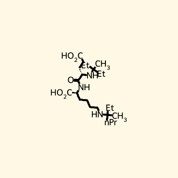 CCCC(C)(CC)NCCCC[C@H](NC(=O)[C@H](CCC(=O)O)NC(C)(CC)CC)C(=O)O